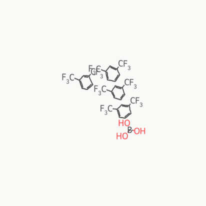 FC(F)(F)c1cccc(C(F)(F)F)c1.FC(F)(F)c1cccc(C(F)(F)F)c1.FC(F)(F)c1cccc(C(F)(F)F)c1.FC(F)(F)c1cccc(C(F)(F)F)c1.OB(O)O